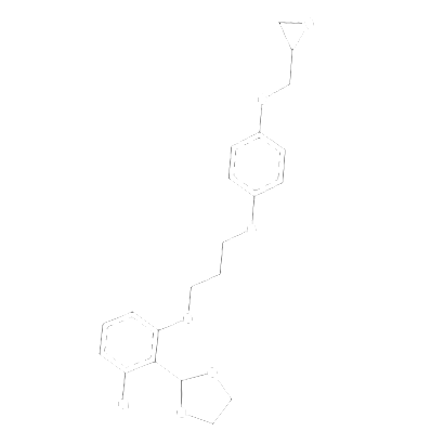 Clc1cccc(OCCCOc2ccc(OCC3CO3)cc2)c1C1OCCO1